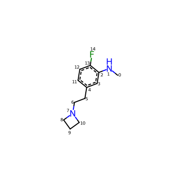 CNc1cc(CCN2CCC2)ccc1F